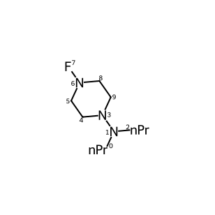 CCCN(CCC)N1CCN(F)CC1